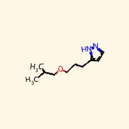 CC(C)COCCCc1ccn[nH]1